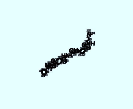 Cc1c(S(=O)(=O)N2CCC3(CC2)CC(NC[C@H](O)COc2cccc(S(=O)(=O)NCCCN(C)C)c2)CO3)cnn1-c1ccccc1